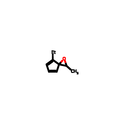 CCC1=CC=CC12OC2C